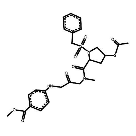 COC(=O)c1ccc(NCC(=O)CN(C)C(=O)C2CC(SC(C)=O)CN2S(=O)(=O)Cc2ccccc2)cc1